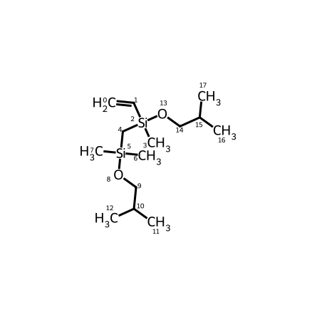 C=C[Si](C)(C[Si](C)(C)OCC(C)C)OCC(C)C